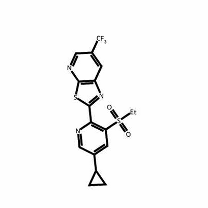 CCS(=O)(=O)c1cc(C2CC2)cnc1-c1nc2cc(C(F)(F)F)cnc2s1